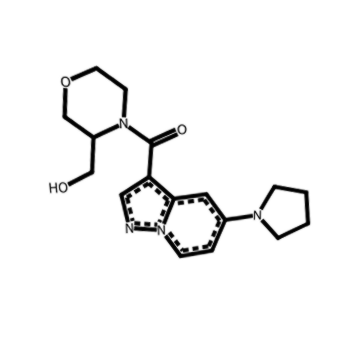 O=C(c1cnn2ccc(N3CCCC3)cc12)N1CCOCC1CO